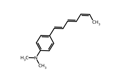 C\C=C/C=C/C=C/c1ccc(N(C)C)cc1